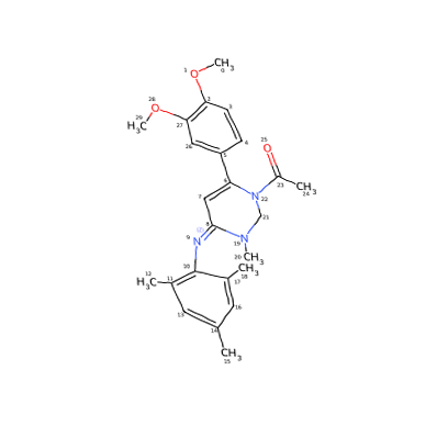 COc1ccc(C2=C/C(=N/c3c(C)cc(C)cc3C)N(C)CN2C(C)=O)cc1OC